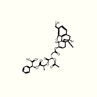 CC(=O)O[C@@H](CC(=O)OC1=CC[C@@]2(O)[C@H]3Cc4ccc(CO)c5c4[C@@]2(CCN3C)[C@H]1O5)C(=O)O[C@@H](C)C(=O)O[C@H](C(=O)O)c1ccccc1